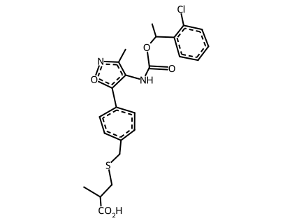 Cc1noc(-c2ccc(CSCC(C)C(=O)O)cc2)c1NC(=O)OC(C)c1ccccc1Cl